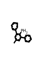 Cc1cc(-c2ccccc2)c(P)c(-c2ccccc2)c1